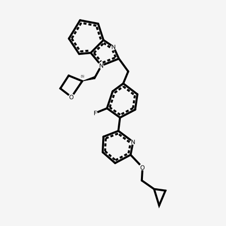 Fc1cc(Cc2nc3ccccc3n2C[C@@H]2CCO2)ccc1-c1cccc(OCC2CC2)n1